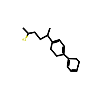 CC(S)CCC(C)C1=CC=C(C2=CC=CCC2)CC1